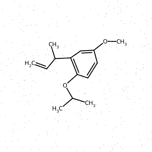 C=C[C](C)c1cc(OC)ccc1OC(C)C